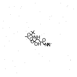 CC(C)OC(C(=O)NC(CCC(=O)C=[N+]=[N-])C(=O)O)C(C)(C)C